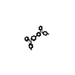 Cc1ccc(N(c2ccccc2)C2CCC(c3ccc(N(c4ccccc4)C4CCC(C)CC4)cc3)CC2)cc1